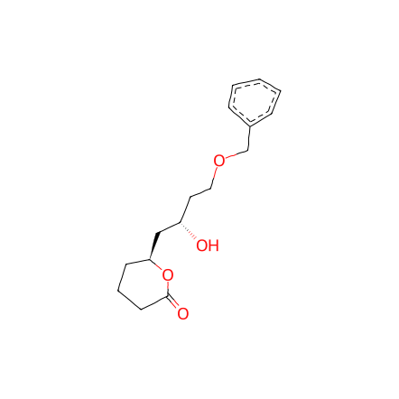 O=C1CCC[C@@H](C[C@@H](O)CCOCc2ccccc2)O1